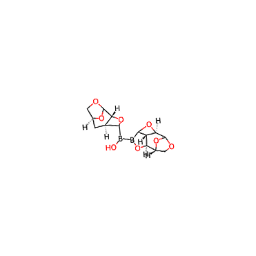 OB(B1O[C@H]2[C@@H]3C1O[C@H]3C1OC[C@H]2O1)C1O[C@H]2C3OC[C@H](C[C@H]12)O3